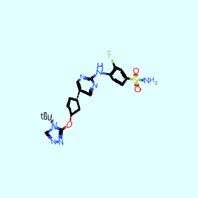 CC(C)(C)n1cnnc1O[C@H]1CC[C@@H](c2cnc(Nc3ccc(S(N)(=O)=O)cc3F)nc2)C1